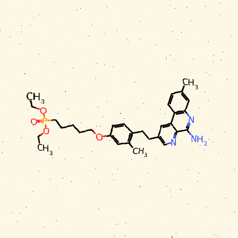 CCOP(=O)(CCCCCOc1ccc(CCc2cnc3c(N)nc4cc(C)ccc4c3c2)c(C)c1)OCC